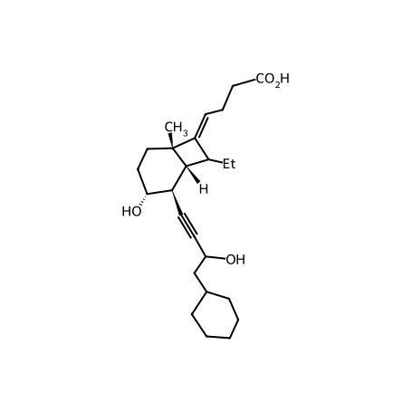 CCC1C(=CCCC(=O)O)[C@@]2(C)CC[C@@H](O)[C@H](C#CC(O)CC3CCCCC3)[C@@H]12